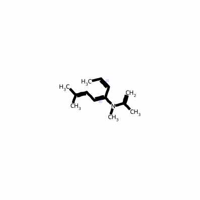 C=C(C)N(C)C(/C=C\C)=C/C=C(C)C